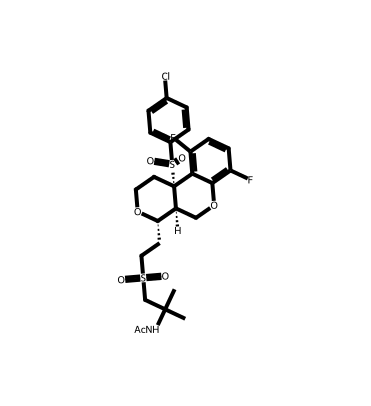 CC(=O)NC(C)(C)CS(=O)(=O)CC[C@@H]1OCC[C@@]2(S(=O)(=O)c3ccc(Cl)cc3)c3c(F)ccc(F)c3OC[C@@H]12